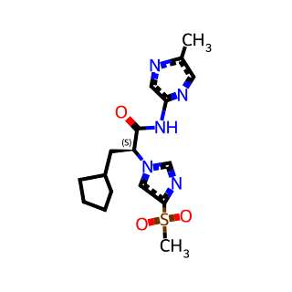 Cc1cnc(NC(=O)[C@H](CC2CCCC2)n2cnc(S(C)(=O)=O)c2)cn1